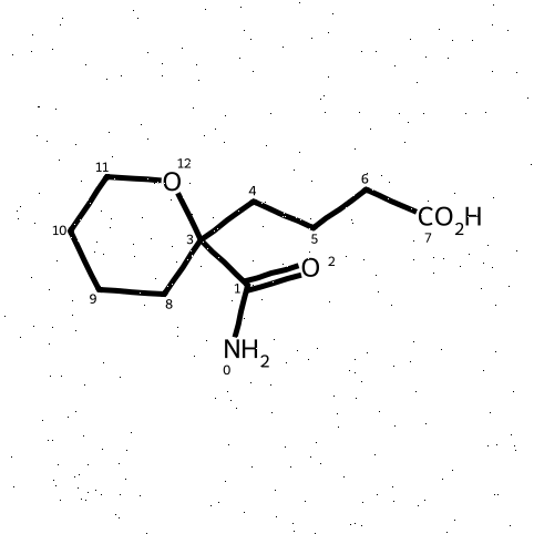 NC(=O)C1(CCCC(=O)O)CCCCO1